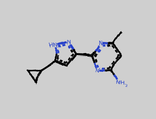 Cc1cc(N)nc(-c2cc(C3CC3)[nH]n2)n1